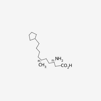 C[C@H](CCCCC1CCCC1)CC[C@H](N)CC(=O)O